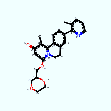 Cc1cccnc1-c1ccc2c(c1)CCn1c(OC[C@@H]3COCCO3)cc(=O)c(C)c1-2